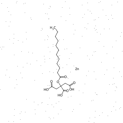 CCCCCCCCCCCC(=O)OC(CC(=O)O)(CC(=O)O)C(=O)O.[Zn]